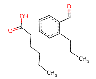 CCCCCC(=O)O.CCCc1ccccc1C=O